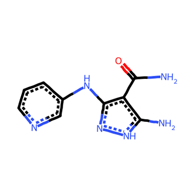 NC(=O)c1c(Nc2cccnc2)n[nH]c1N